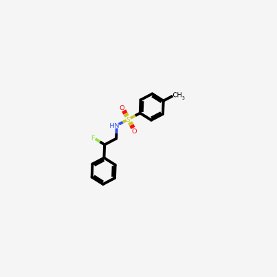 Cc1ccc(S(=O)(=O)NCC(F)c2ccccc2)cc1